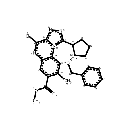 COC(=O)c1cc2nc(Cl)c3nnc(C4CCC[C@@H]4OCc4ccccc4)n3c2cc1C